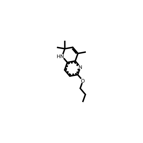 CCCOc1ccc2c(n1)C(C)=CC(C)(C)N2